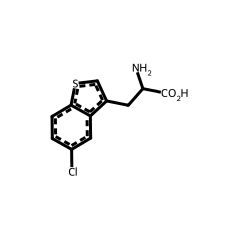 NC(Cc1csc2ccc(Cl)cc12)C(=O)O